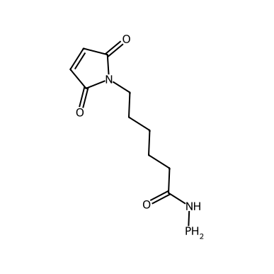 O=C(CCCCCN1C(=O)C=CC1=O)NP